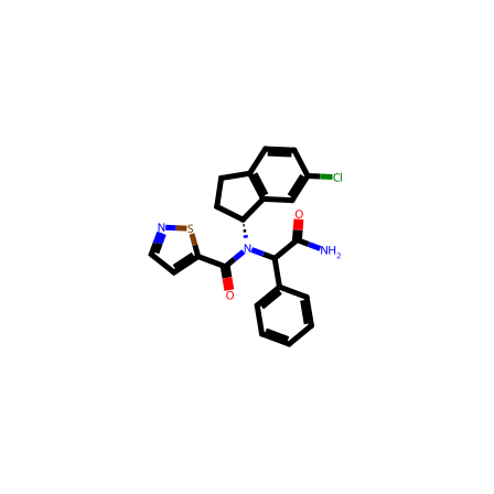 NC(=O)C(c1ccccc1)N(C(=O)c1ccns1)[C@@H]1CCc2ccc(Cl)cc21